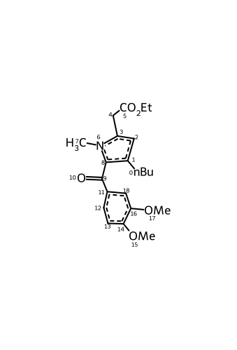 CCCCc1cc(CC(=O)OCC)n(C)c1C(=O)c1ccc(OC)c(OC)c1